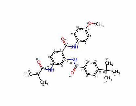 COc1ccc(NC(=O)c2ccc(NC(=O)C(C)C)cc2NC(=O)c2ccc(C(C)(C)C)cc2)cc1